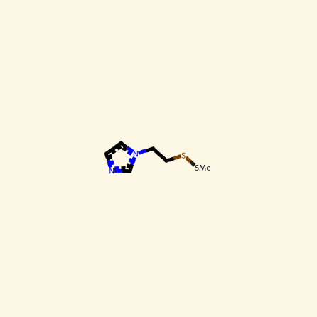 CSSCCn1ccnc1